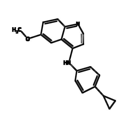 COc1ccc2nccc(Nc3ccc(C4CC4)cc3)c2c1